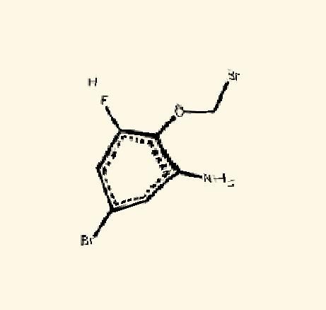 Nc1cc(Br)cc(F)c1OCBr.[H+]